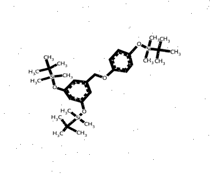 CC(C)(C)[Si](C)(C)Oc1ccc(OCc2cc(O[Si](C)(C)C(C)(C)C)cc(O[Si](C)(C)C(C)(C)C)c2)cc1